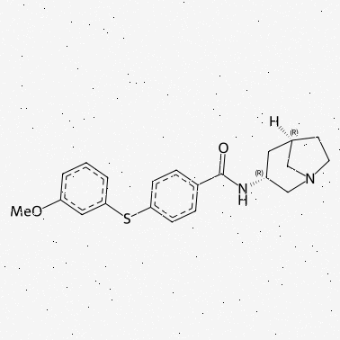 COc1cccc(Sc2ccc(C(=O)N[C@@H]3C[C@H]4CCN(C4)C3)cc2)c1